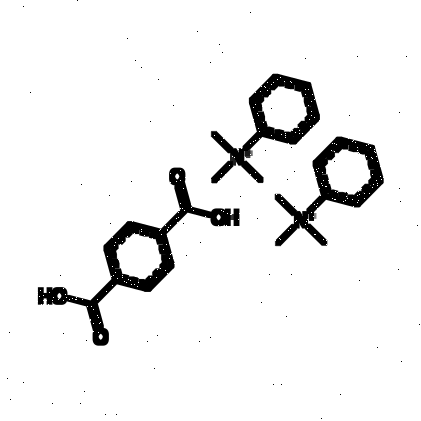 C[N+](C)(C)c1ccccc1.C[N+](C)(C)c1ccccc1.O=C(O)c1ccc(C(=O)O)cc1